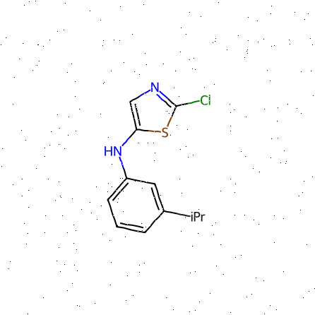 CC(C)c1cccc(Nc2cnc(Cl)s2)c1